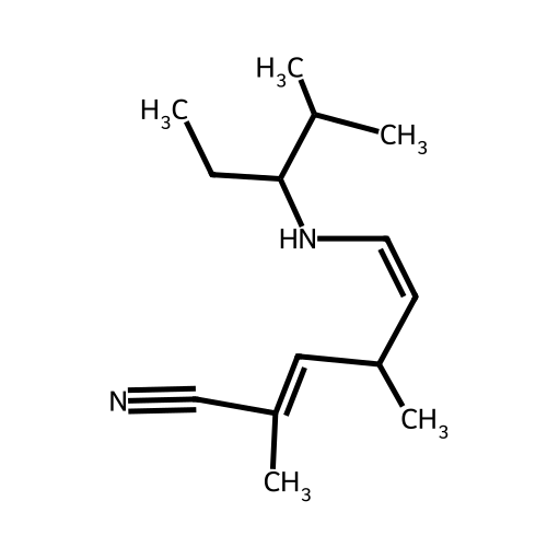 CCC(N/C=C\C(C)/C=C(\C)C#N)C(C)C